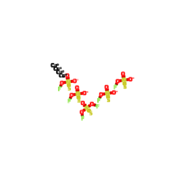 O=S(=S)(OF)OF.O=S([O-])(=S)OF.O=S([O-])(=S)OF.O=S([O-])(=S)OF.O=S([O-])(=S)OF.[Cu+].[Cu+].[Cu+].[Cu+]